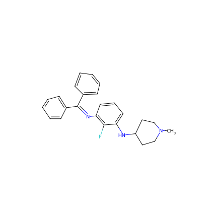 CN1CCC(Nc2cccc(N=C(c3ccccc3)c3ccccc3)c2F)CC1